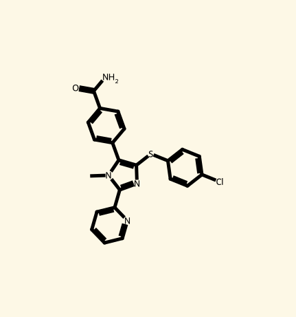 Cn1c(-c2ccccn2)nc(Sc2ccc(Cl)cc2)c1-c1ccc(C(N)=O)cc1